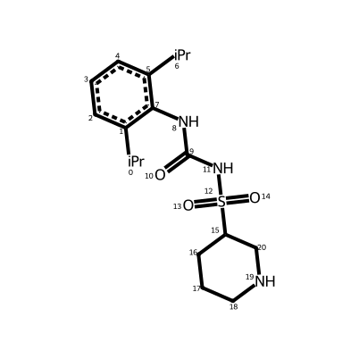 CC(C)c1cccc(C(C)C)c1NC(=O)NS(=O)(=O)C1CCCNC1